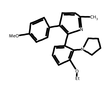 CCOc1cccc(-c2nc(C)ccc2-c2ccc(OC)cc2)c1N1CCCC1